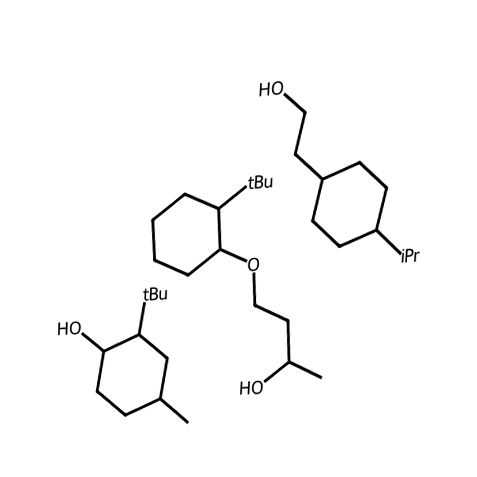 CC(C)C1CCC(CCO)CC1.CC(O)CCOC1CCCCC1C(C)(C)C.CC1CCC(O)C(C(C)(C)C)C1